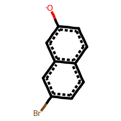 [O]c1ccc2ccc(Br)cc2c1